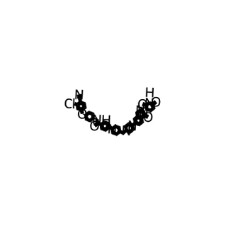 N#Cc1ccc(O[C@H]2CC[C@H](NC(=O)c3ccc(N4CCC(CN5CCN(c6ccc7c(=O)n([C@H]8CCC(=O)NC8=O)ncc7c6)CC5)CC4)cc3)CC2)cc1Cl